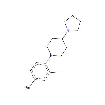 Cc1cc(C(C)(C)C)ccc1N1CCC(N2CCCC2)CC1